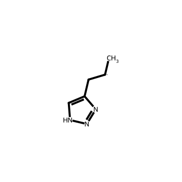 C[CH]Cc1c[nH]nn1